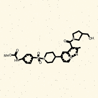 COC(=O)Nc1ccc(S(=O)(=O)N2CCC(c3ccn4nc(C)c(C(=O)N5CCC(CO)C5)c4c3)CC2)cc1